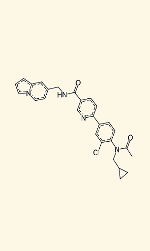 CC(=O)N(CC1CC1)c1ccc(-c2ccc(C(=O)NCc3ccn4cccc4c3)cn2)cc1Cl